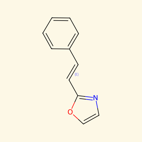 C(=C\c1ncco1)/c1ccccc1